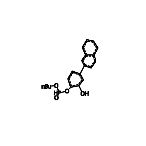 CCCCO[PH](=O)Oc1ccc(-c2ccc3ccccc3c2)cc1O